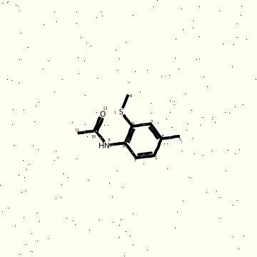 CSc1cc(C)ccc1NC(C)=O